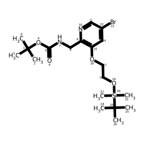 CC(C)(C)OC(=O)NCc1ncc(Br)cc1OCCO[Si](C)(C)C(C)(C)C